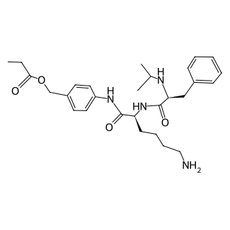 CCC(=O)OCc1ccc(NC(=O)[C@H](CCCCN)NC(=O)[C@H](Cc2ccccc2)NC(C)C)cc1